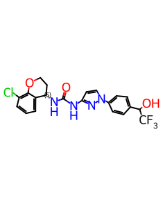 O=C(Nc1ccn(-c2ccc(C(O)C(F)(F)F)cc2)n1)N[C@H]1CCOc2c(Cl)cccc21